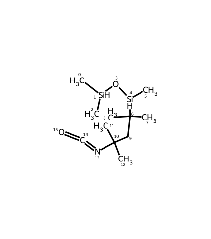 C[SiH](C)O[SiH](C)C(C)(C)CC(C)(C)N=C=O